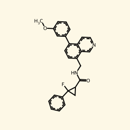 COc1cccc(-c2ccc(CNC(=O)C3CC3(F)c3ccccc3)c3cnccc23)c1